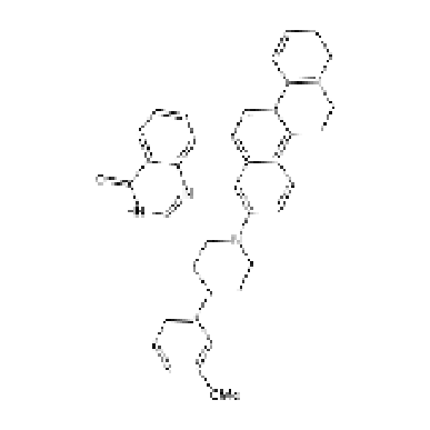 COc1cccc(N2CCN(c3ccc4c5c(ccc4c3)C3=C(CCC=C3)CC5)CC2)c1.O=c1[nH]cnc2ccccc12